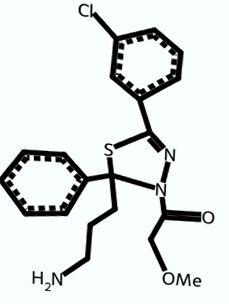 COCC(=O)N1N=C(c2cccc(Cl)c2)SC1(CCCN)c1ccccc1